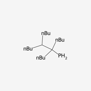 CCCCC(CCCC)C(P)(CCCC)CCCC